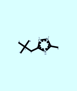 Cc1noc(CC(C)(C)C)n1